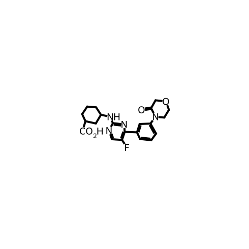 O=C(O)C1CCCC(Nc2ncc(F)c(-c3cccc(N4CCOCC4=O)c3)n2)C1